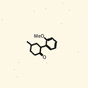 COc1ccccc1C1CC(C)CCC1=O